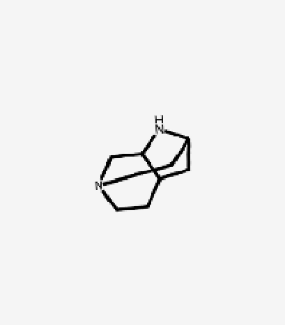 C1CN2CC3CC1C(C2)N3